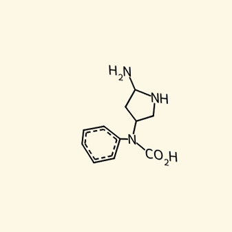 NC1CC(N(C(=O)O)c2ccccc2)CN1